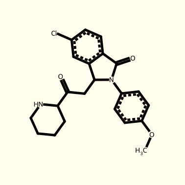 COc1ccc(N2C(=O)c3ccc(Cl)cc3C2CC(=O)C2CCCCN2)cc1